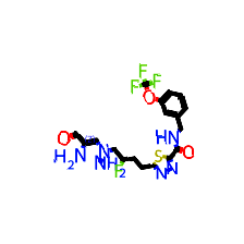 N/C(C=O)=C\N(N)CC(F)CCc1nnc(C(=O)NCc2cccc(OC(F)(F)F)c2)s1